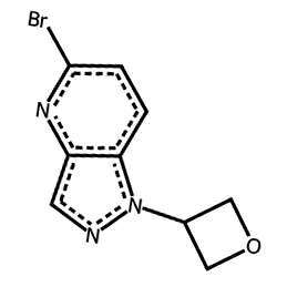 Brc1ccc2c(cnn2C2COC2)n1